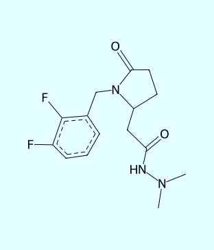 CN(C)NC(=O)CC1CCC(=O)N1Cc1cccc(F)c1F